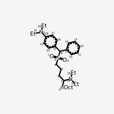 CCCCCCCCC(CCCS(=O)(=O)C(c1ccccc1)c1ccc(N(CC)CC)cc1)N(CC)CC